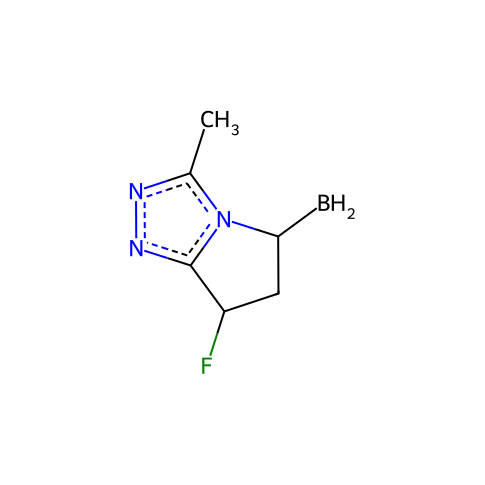 BC1CC(F)c2nnc(C)n21